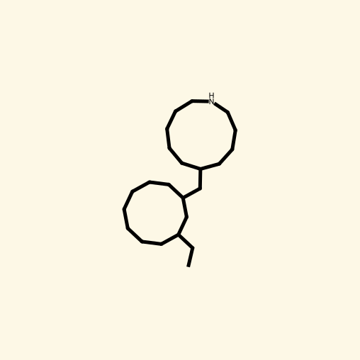 CCC1CCCCCCCC(CC2CCCCCNCCCC2)C1